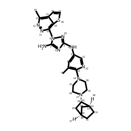 Cc1cc(Nc2nc(N)n(-c3nnc(C)c4ccsc34)n2)cnc1N1CCN([C@H]2C[C@@H]3CC[C@H]2C3)CC1